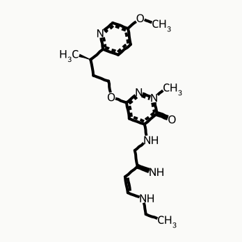 CCN/C=C\C(=N)CNc1cc(OCC[C@@H](C)c2ccc(OC)cn2)nn(C)c1=O